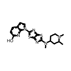 CC1CC(N(C)c2nc3sc(-n4ccc5ccc(O)nc54)nc3s2)CCN1C